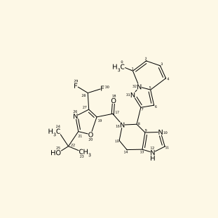 Cc1cccc2cc(C3c4nc[nH]c4CCN3C(=O)c3oc(C(C)(C)O)nc3C(F)F)nn12